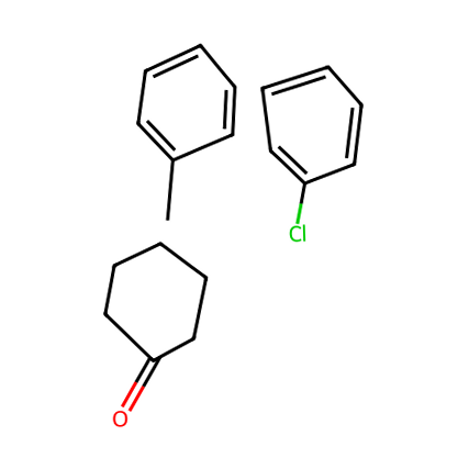 Cc1ccccc1.Clc1ccccc1.O=C1CCCCC1